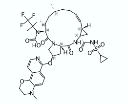 C[C@@H]1CCC=C[C@@H]2C[C@@]2(C(=O)NS(=O)(=O)C2CC2)NC(=O)[C@@H]2C[C@@H](Oc3nccc4c5c(ccc34)N(C)CCO5)CN2C(=O)[C@@H](N(C(=O)O)C(C)(C)C(F)(F)F)[C@H](C)C1